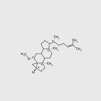 CO[C@@H]1CC2C3CCC([C@H](C)CCC=C(C)C)[C@@]3(C)CCC2[C@@]2(C)CC[C@@H]3CC312